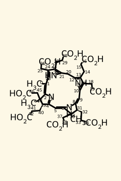 C/C1=C2N=C(/C=C3\N/C(=C\c4[nH]c(c(CCC(=O)O)c4CC(=O)O)Cc4[nH]c1c(CC(=O)O)c4CCC(=O)O)[C@@H](CCC(=O)O)[C@]3(C)CC(=O)O)[C@@H](CCC(=O)O)[C@]/2(C)CC(=O)O